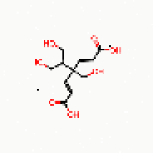 O=C(O)C=CC(C=CC(=O)O)(CO)C(CO)CO